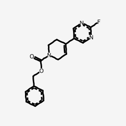 O=C(OCc1ccccc1)N1CC=C(c2cnc(F)nc2)CC1